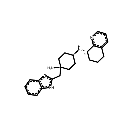 N[C@]1(Cc2nc3ccccc3[nH]2)CC[C@H](N[C@H]2CCCc3cccnc32)CC1